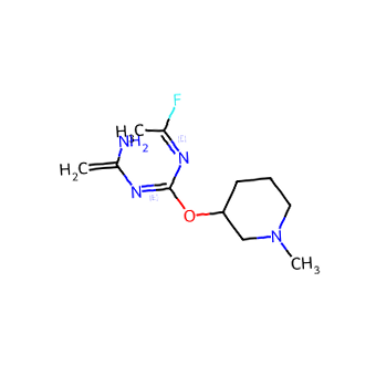 C=C(N)/N=C(\N=C(/C)F)OC1CCCN(C)C1